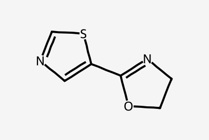 c1ncc(C2=NCCO2)s1